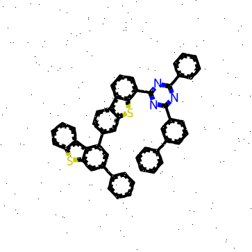 c1ccc(-c2cccc(-c3nc(-c4ccccc4)nc(-c4cccc5c4sc4cc(-c6cc(-c7ccccc7)cc7sc8ccccc8c67)ccc45)n3)c2)cc1